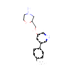 COc1ccc(-c2cncc(OCC3CNCCO3)c2)cc1